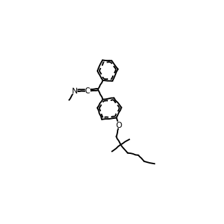 CCCCC(C)(C)COc1ccc(C(=C=NC)c2ccccc2)cc1